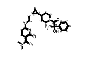 CN(C)C(=O)c1ccc(OCC[C@@H]2CC2C2CCN(C(=O)C(O)(c3ccccc3)C(F)(F)F)CC2)nc1Cl